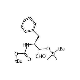 CC(C)(C)OC(=O)N[C@@H](Cc1ccccc1)[C@@H](C=O)O[Si](C)(C)C(C)(C)C